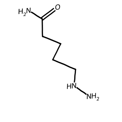 NNCCCCC(N)=O